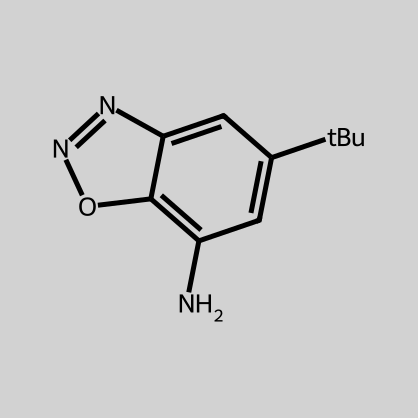 CC(C)(C)c1cc(N)c2onnc2c1